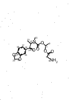 CC(OC(=O)CN)OC(=O)N(C)C(C)C(=O)c1ccc2c(c1)OCO2